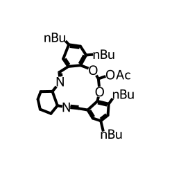 CCCCc1cc2c(c(CCCC)c1)OC(OC(C)=O)Oc1c(cc(CCCC)cc1CCCC)/C=N/C1CCCCC1/N=C/2